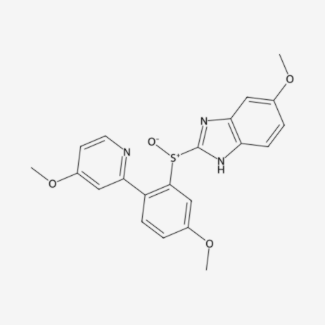 COc1ccnc(-c2ccc(OC)cc2[S+]([O-])c2nc3cc(OC)ccc3[nH]2)c1